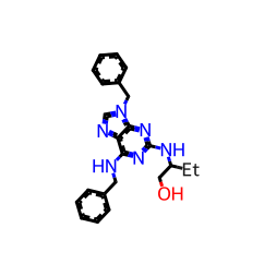 CCC(CO)Nc1nc(NCc2ccccc2)c2ncn(Cc3ccccc3)c2n1